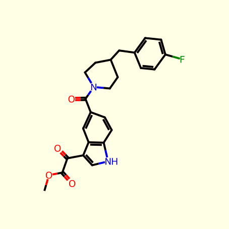 COC(=O)C(=O)c1c[nH]c2ccc(C(=O)N3CCC(Cc4ccc(F)cc4)CC3)cc12